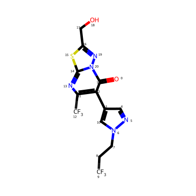 O=c1c(-c2cnn(CCC(F)(F)F)c2)c(C(F)(F)F)nc2sc(CO)nn12